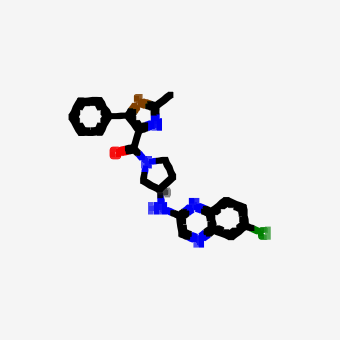 Cc1nc(C(=O)N2CC[C@@H](Nc3cnc4cc(Cl)ccc4n3)C2)c(-c2ccccc2)s1